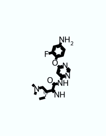 CC[C@H](CN(C)C)C(=N)C(=O)Nc1cc(Oc2ccc(N)cc2F)ncn1